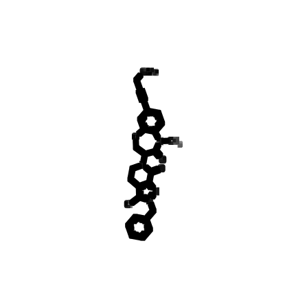 COCC#Cc1ccc2c(c1)OCC(N1CCc3c(nn(Cc4ccccc4)c3Cl)C1=O)C(=O)N2C